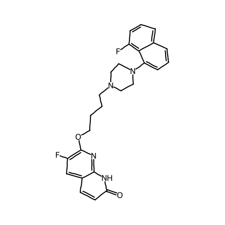 O=c1ccc2cc(F)c(OCCCCN3CCN(c4cccc5cccc(F)c45)CC3)nc2[nH]1